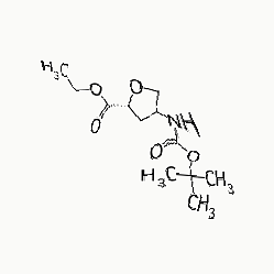 CCOC(=O)[C@H]1CC(NC(=O)OC(C)(C)C)CO1